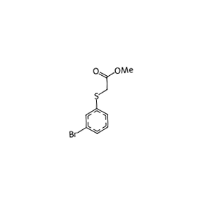 COC(=O)CSc1cccc(Br)c1